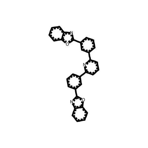 c1cc(-c2cccc(-c3cccc(-c4nc5ccccc5o4)c3)n2)cc(-c2nc3ccccc3o2)c1